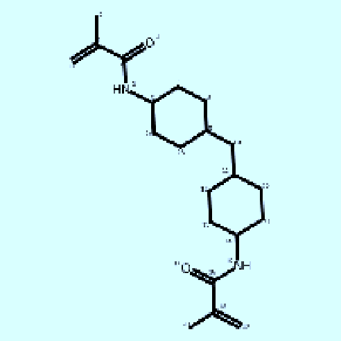 C=C(C)C(=O)NC1CCC(CC2CCC(NC(=O)C(=C)C)CC2)CC1